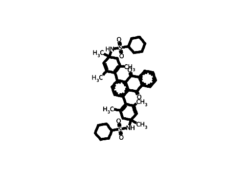 CC1=CC(C)(NS(=O)(=O)C2CCCCC2)CC(C)=C1c1ccc(C2=C(C)CC(C)(NS(=O)(=O)C3CCCCC3)C=C2C)c2c1C(=O)c1ccccc1C2=O